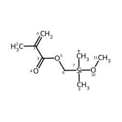 C=C(C)C(=O)OC[Si](C)(C)OC